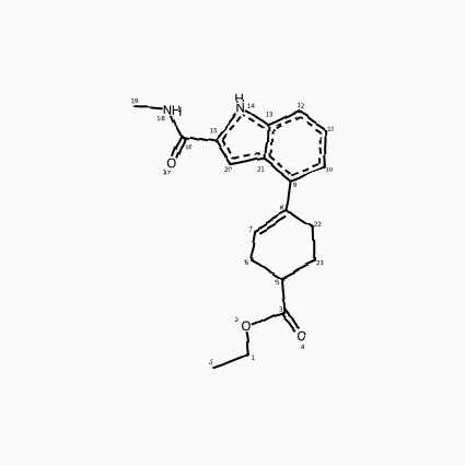 CCOC(=O)C1CC=C(c2cccc3[nH]c(C(=O)NC)cc23)CC1